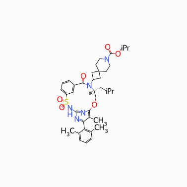 Cc1cccc(C)c1-c1nc2nc(c1C)OC[C@@H](CC(C)C)N(C1CC3(CCN(C(=O)OC(C)C)CC3)C1)C(=O)c1cccc(c1)S(=O)(=O)N2